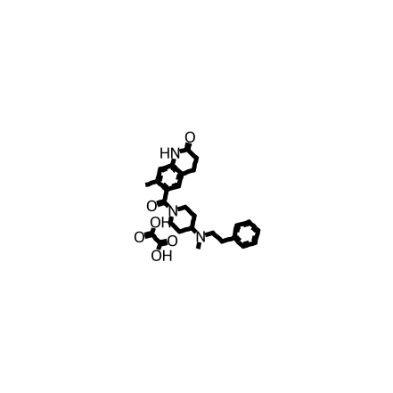 Cc1cc2c(cc1C(=O)N1CCC(N(C)CCc3ccccc3)CC1)CCC(=O)N2.O=C(O)C(=O)O